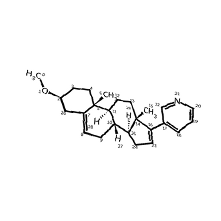 CO[C@H]1CC[C@@]2(C)C(=CC[C@@H]3[C@@H]2CC[C@]2(C)C(c4cccnc4)=CC[C@@H]32)C1